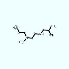 CC(O)CNCCN(C)CCN